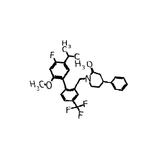 COc1cc(F)c(C(C)C)cc1-c1ccc(C(F)(F)F)cc1CN1CCC(c2ccccc2)CC1=O